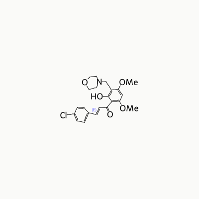 COc1cc(OC)c(C(=O)/C=C/c2ccc(Cl)cc2)c(O)c1CN1CCOCC1